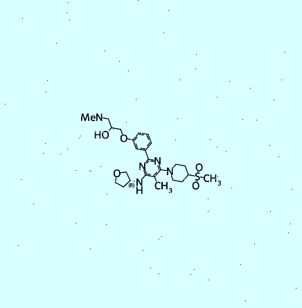 CNCC(O)COc1cccc(-c2nc(N[C@@H]3CCOC3)c(C)c(N3CCC(S(C)(=O)=O)CC3)n2)c1